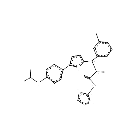 CC(C)Oc1ccc(-c2ccc([C@@H](c3cccc(F)c3)[C@@H](C)C(=O)Nc3nncs3)s2)cc1